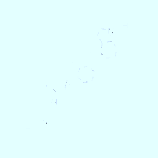 CN1CCCN(C(=O)/C=C/c2ccc(Sc3ccc4c(ccn4C)c3)c(Cl)c2Cl)CC1